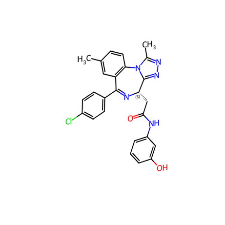 Cc1ccc2c(c1)C(c1ccc(Cl)cc1)=N[C@@H](CC(=O)Nc1cccc(O)c1)c1nnc(C)n1-2